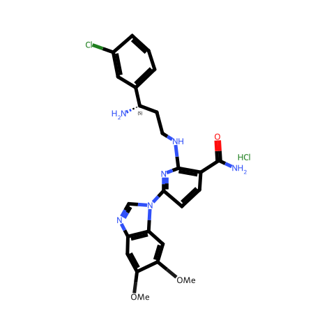 COc1cc2ncn(-c3ccc(C(N)=O)c(NCC[C@H](N)c4cccc(Cl)c4)n3)c2cc1OC.Cl